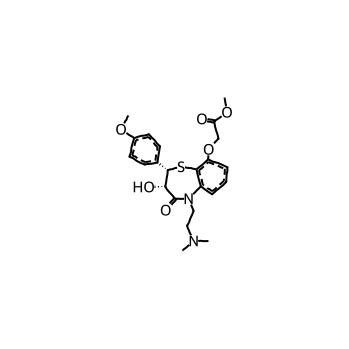 COC(=O)COc1cccc2c1S[C@@H](c1ccc(OC)cc1)[C@@H](O)C(=O)N2CCN(C)C